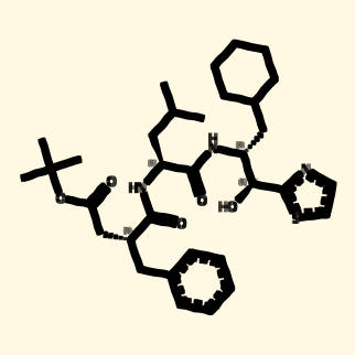 CC(C)C[C@H](NC(=O)[C@@H](CC(=O)OC(C)(C)C)Cc1ccccc1)C(=O)N[C@H](CC1CCCCC1)[C@H](O)c1nccs1